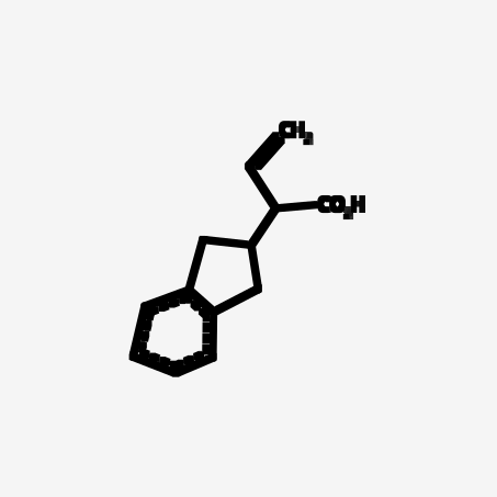 C=CC(C(=O)O)C1Cc2ccccc2C1